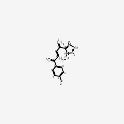 C=C(C=CC(=O)c1ccc(F)cc1)c1nnnn1C